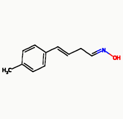 Cc1ccc(C=CCC=NO)cc1